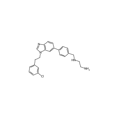 NCCNCc1ccc(-c2ccc3ncn(CCc4cccc(Cl)c4)c3c2)cc1